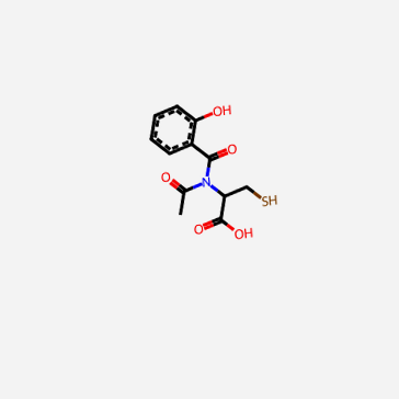 CC(=O)N(C(=O)c1ccccc1O)C(CS)C(=O)O